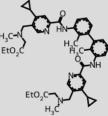 CCOC(=O)CN(C)Cc1cnc(C(=O)Nc2cccc(-c3cccc(NC(=O)c4cc(C5CC5)c(CN(C)CC(=O)OCC)cn4)c3C)c2C)cc1C1CC1